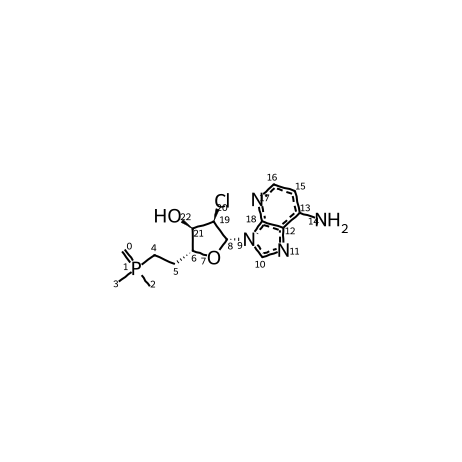 C=P(C)(C)CC[C@H]1O[C@@H](n2cnc3c(N)ccnc32)[C@H](Cl)[C@@H]1O